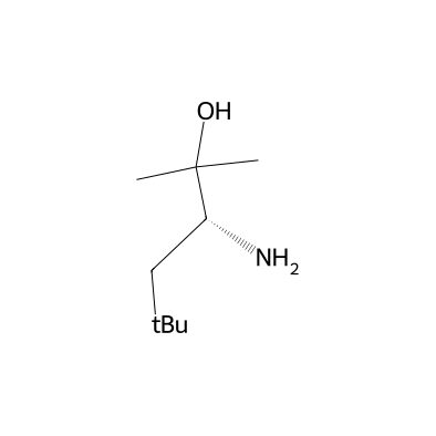 CC(C)(C)C[C@@H](N)C(C)(C)O